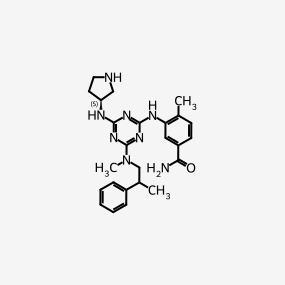 Cc1ccc(C(N)=O)cc1Nc1nc(N[C@H]2CCNC2)nc(N(C)CC(C)c2ccccc2)n1